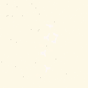 CC(=O)NCCNS(=O)(=O)c1nnc(Nc2c3c(cc4c2CCC4)CCC3)[nH]1